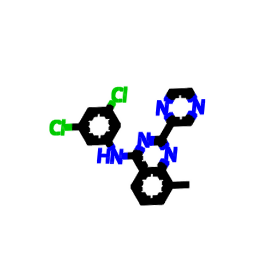 Cc1cccc2c(Nc3cc(Cl)cc(Cl)c3)nc(-c3cnccn3)nc12